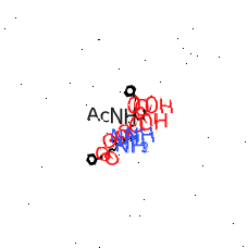 CC(=O)N[C@H]1[C@@H](OCc2ccccc2)O[C@H](CO)[C@@H](O)[C@@H]1O[C@H](C)C(=O)N[C@@H](C)C(=O)N[C@@H](CCC(=O)OCc1ccccc1)C(N)=O